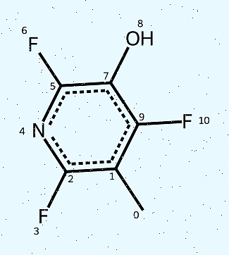 Cc1c(F)nc(F)c(O)c1F